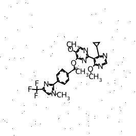 COc1cnc(-c2c(OC)ncnc2C2CC2)nc1O[C@H](C)c1ccc(-c2nc(C(F)(F)F)cn2C)cc1